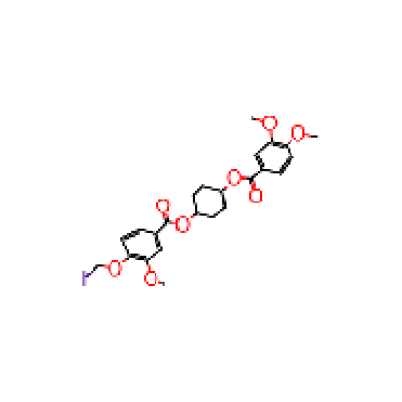 COc1ccc(C(=O)OC2CCC(OC(=O)c3ccc(OCI)c(OC)c3)CC2)cc1OC